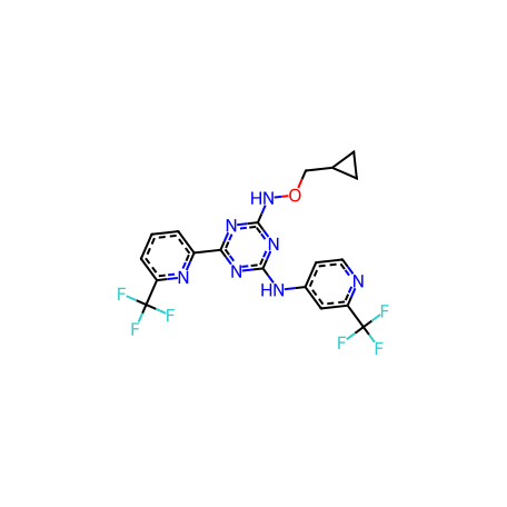 FC(F)(F)c1cc(Nc2nc(NOCC3CC3)nc(-c3cccc(C(F)(F)F)n3)n2)ccn1